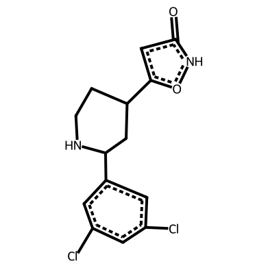 O=c1cc(C2CCNC(c3cc(Cl)cc(Cl)c3)C2)o[nH]1